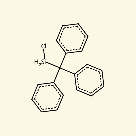 Cl[SiH2]C(c1ccccc1)(c1ccccc1)c1ccccc1